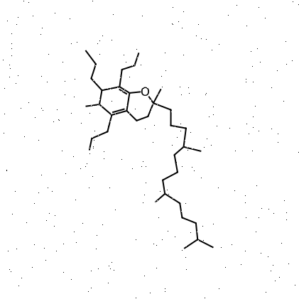 CCCC1=C2CCC(C)(CCCC(C)CCCC(C)CCCC(C)C)OC2=C(CCC)C(CCC)C1C